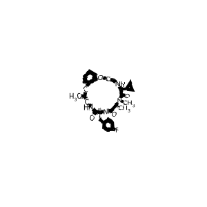 CC1CNC(=O)[C@@H](Cc2ccc(F)cc2)NC(=O)[C@@H](C)N(C)C(=O)C(C2CC2)NCCOc2ccccc2C1